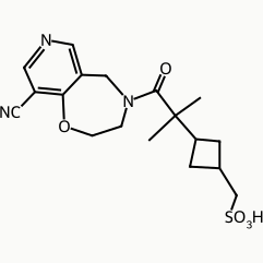 CC(C)(C(=O)N1CCOc2c(C#N)cncc2C1)C1CC(CS(=O)(=O)O)C1